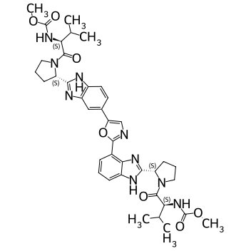 COC(=O)N[C@H](C(=O)N1CCC[C@H]1c1nc2cc(-c3cnc(-c4cccc5[nH]c([C@@H]6CCCN6C(=O)[C@@H](NC(=O)OC)C(C)C)nc45)o3)ccc2[nH]1)C(C)C